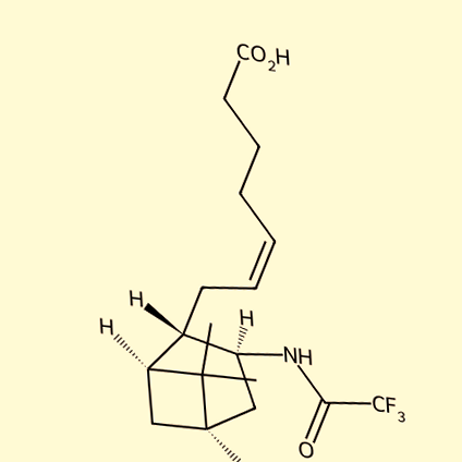 CC1(C)[C@H]2C[C@H](NC(=O)C(F)(F)F)[C@@H](C/C=C\CCCC(=O)O)[C@@H]1C2